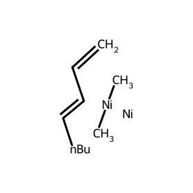 C=CC=CCCCC.[CH3][Ni][CH3].[Ni]